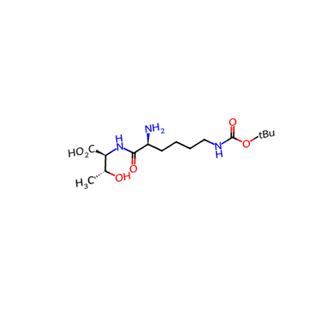 C[C@@H](O)[C@H](NC(=O)[C@@H](N)CCCCNC(=O)OC(C)(C)C)C(=O)O